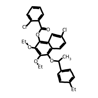 CCOc1c(OCC)c(OC(C)c2ccc(CC)cc2)c2ccc(Cl)cc2c1OC(=O)c1ccccc1Cl